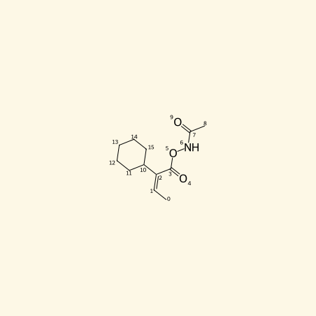 CC=C(C(=O)ONC(C)=O)C1CCCCC1